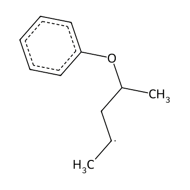 C[CH]CC(C)Oc1ccccc1